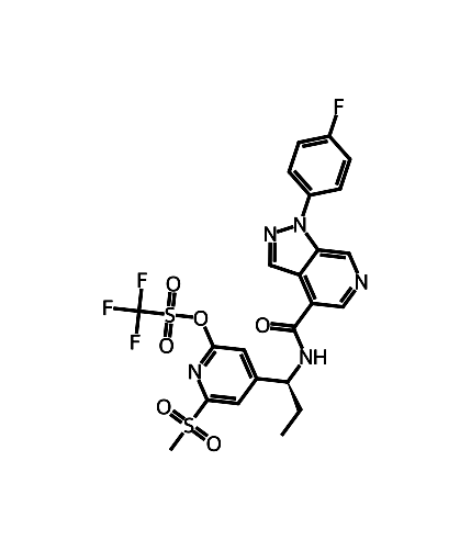 CC[C@H](NC(=O)c1cncc2c1cnn2-c1ccc(F)cc1)c1cc(OS(=O)(=O)C(F)(F)F)nc(S(C)(=O)=O)c1